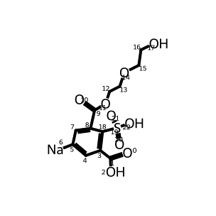 O=C(O)c1c[c]([Na])cc(C(=O)OCCOCCO)c1S(=O)(=O)O